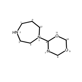 C1CNCCN(C2[N]COCO2)C1